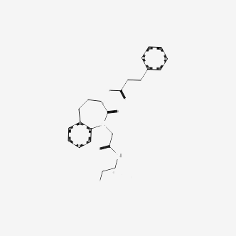 O=C[C@H](CC(=O)O)NC(=O)CN1C(=O)[C@@H](NC(=O)CCc2ccccc2)CCc2ccccc21